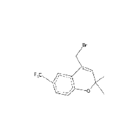 CC1(C)C=C(CBr)c2cc(C(F)(F)F)ccc2O1